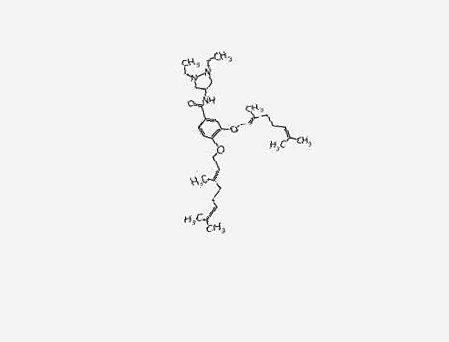 CCN1CC(NC(=O)c2ccc(OC/C=C(\C)CCC=C(C)C)c(OC/C=C(\C)CCC=C(C)C)c2)CN1CC